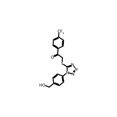 O=C(CSc1nnnn1-c1ccc(CO)cc1)c1ccc(C(F)(F)F)cc1